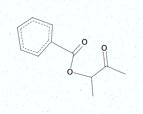 CC(=O)C(C)OC(=O)c1ccccc1